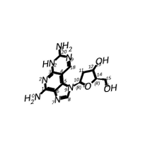 Nc1nc2c(c3c1ncn3[C@H]1CC(O)[C@@H](CO)O1)C=NC(N)N2